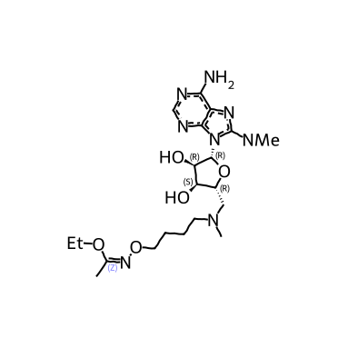 CCO/C(C)=N\OCCCCN(C)C[C@H]1O[C@@H](n2c(NC)nc3c(N)ncnc32)[C@H](O)[C@@H]1O